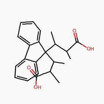 CC(C(=O)O)C(C)C1(C(C)C(C)C(=O)O)c2ccccc2-c2ccccc21